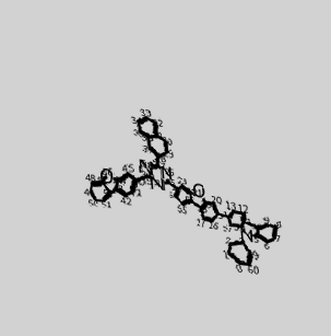 c1ccc(-n2c3ccccc3c3ccc(-c4ccc5c(c4)oc4cc(-c6nc(-c7ccc8ccccc8c7)nc(-c7ccc8c(c7)oc7ccccc78)n6)ccc45)cc32)cc1